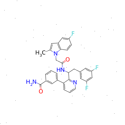 Cc1cc2cc(F)ccc2n1CC(=O)NC(Cc1cc(F)cc(F)c1)c1ncccc1-c1cccc(C(N)=O)c1